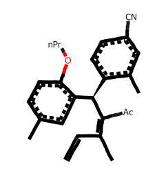 C=C/C(C)=C(/C(C)=O)[C@H](c1ccc(C#N)cc1C)c1cc(C)ccc1OCCC